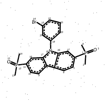 CP(C)(=O)c1ccc2c3ccc(P(C)(C)=O)cc3n(-c3cccc(Br)c3)c2c1